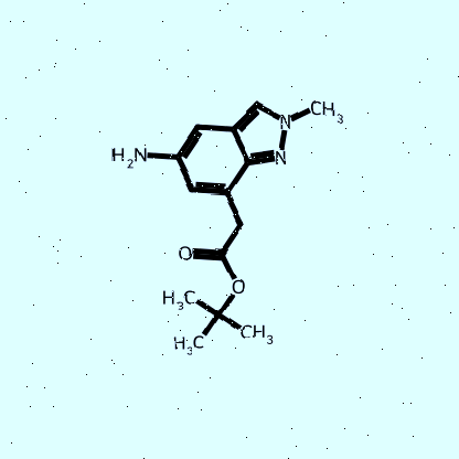 Cn1cc2cc(N)cc(CC(=O)OC(C)(C)C)c2n1